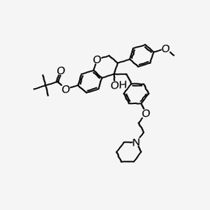 COc1ccc(C2COc3cc(OC(=O)C(C)(C)C)ccc3C2(O)Cc2ccc(OCCN3CCCCC3)cc2)cc1